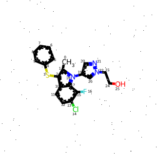 Cc1c(Sc2ccccc2)c2ccc(Cl)c(F)c2n1-c1cnn(CCO)c1